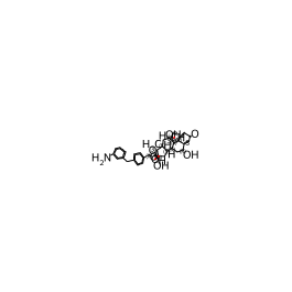 C[C@]12[C@@H](O)C[C@@]3(C)[C@@H](C[C@H]4O[C@@H](c5ccc(Cc6cccc(N)c6)cc5)OC43C(=O)CO)[C@@H]1C[C@@H](O)C1=CC(=O)C=C[C@@]12C